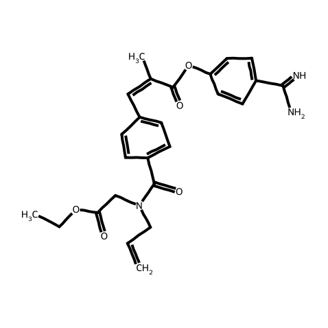 C=CCN(CC(=O)OCC)C(=O)c1ccc(C=C(C)C(=O)Oc2ccc(C(=N)N)cc2)cc1